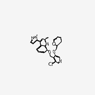 Cc1cc(-c2ccnn2C)c2cccc(OCc3c(Cl)cncc3OCC3CCCCO3)c2n1